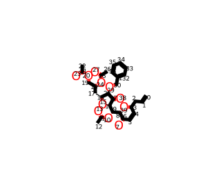 C=CCC1C=CC(=O)[C@@H]([C@@H](OC(C)=O)[C@@H]2O[C@H](CC(COC(C)=O)OC(C)=O)[C@H](OCc3ccccc3)C2=O)O1